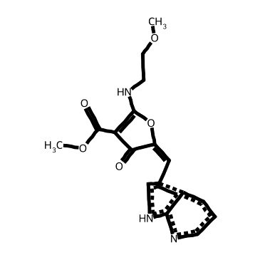 COCCNC1=C(C(=O)OC)C(=O)C(=Cc2c[nH]c3ncccc23)O1